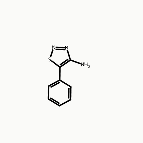 Nc1nnsc1-c1ccccc1